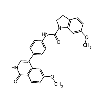 COc1ccc2c(c1)N(C(=O)Nc1ccc(-c3c[nH]c(=O)c4ccc(OC)cc34)cc1)CC2